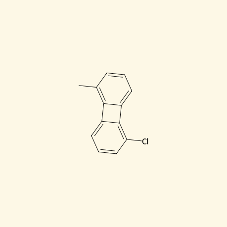 Cc1cccc2c1-c1cccc(Cl)c1-2